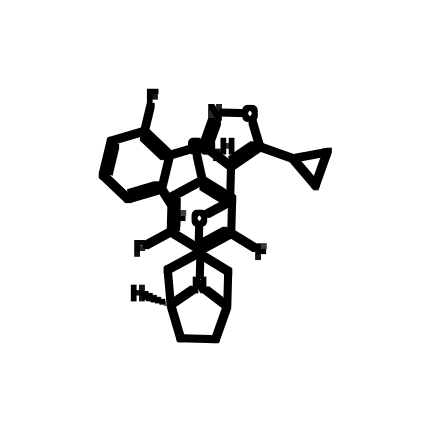 O=C(O)c1cc(F)c(N2C3CC[C@H]2CC(OCc2c(-c4c(F)cccc4F)noc2C2CC2)C3)c(F)c1